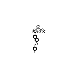 Cc1ccc(COc2ccc3cc(-c4noc([C@@H]5CCCN5C(=O)OC(C)(C)C)n4)ccc3c2)cc1